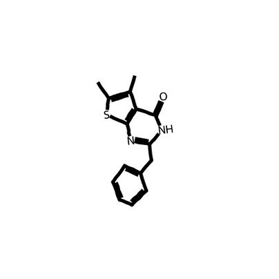 Cc1sc2nc(Cc3ccccc3)[nH]c(=O)c2c1C